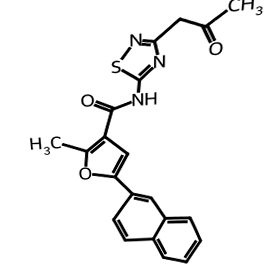 CC(=O)Cc1nsc(NC(=O)c2cc(-c3ccc4ccccc4c3)oc2C)n1